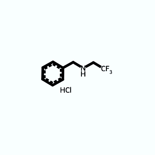 Cl.FC(F)(F)CNCc1ccccc1